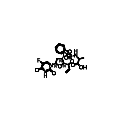 C=CC(O[P@](=O)(NC(C)C(=O)O)Oc1ccccc1)[C@H]1O[C@@H](n2cc(F)c(=O)[nH]c2=O)C[C@@H]1O